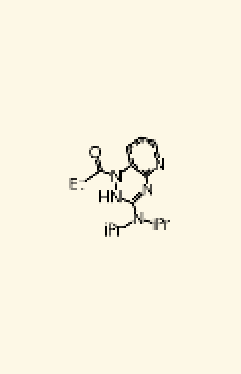 CCC(=O)N1NC(N(C(C)C)C(C)C)=Nc2ncccc21